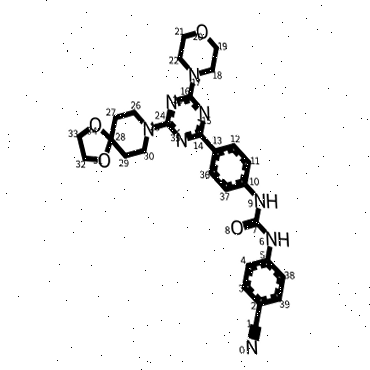 N#Cc1ccc(NC(=O)Nc2ccc(-c3nc(N4CCOCC4)nc(N4CCC5(CC4)OCCO5)n3)cc2)cc1